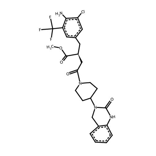 COC(=O)[C@H](CC(=O)N1CCC(N2Cc3ccccc3NC2=O)CC1)Cc1cc(Cl)c(N)c(C(F)(F)F)c1